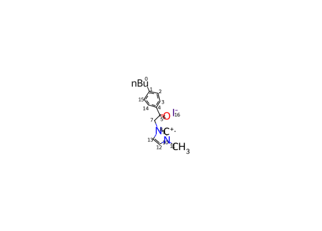 CCCCc1ccc(C(=O)CN2[C+]N(C)C=C2)cc1.[I-]